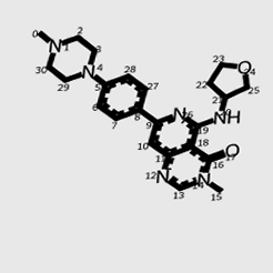 CN1CCN(c2ccc(-c3cc4ncn(C)c(=O)c4c(NC4CCOC4)n3)cc2)CC1